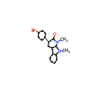 Cn1c(=O)c(-c2ccc(Br)cc2)cc2c3ccccc3n(C)c21